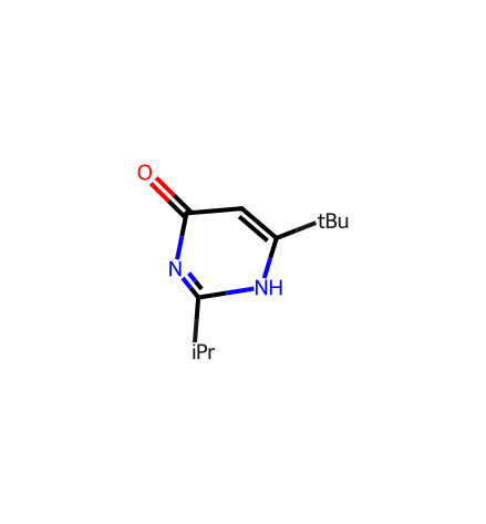 CC(C)c1nc(=O)cc(C(C)(C)C)[nH]1